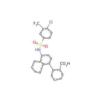 O=C(O)c1ccccc1-c1ccc(NS(=O)(=O)c2ccc(Cl)c(C(F)(F)F)c2)c2ccccc12